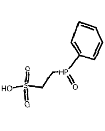 O=[PH](CCS(=O)(=O)O)c1ccccc1